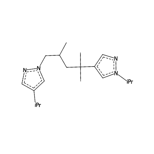 CC(Cn1cc(C(C)C)cn1)CC(C)(C)c1cnn(C(C)C)c1